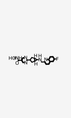 O=C(NO)c1cnc(C2C[C@@H]3C(NCc4ccc5cc(F)ccc5n4)[C@@H]3C2)nc1